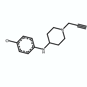 C#CCN1CCC(Nc2ccc(Cl)cc2)CC1